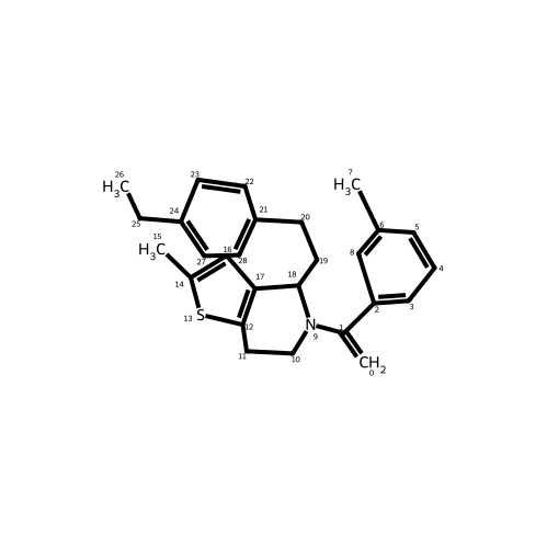 C=C(c1cccc(C)c1)N1CCc2sc(C)cc2C1CCc1ccc(CC)cc1